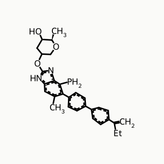 C=C(CC)c1ccc(-c2ccc(-c3c(C)cc4[nH]c(OC5CO[C@H](C)C(O)C5)nc4c3P)cc2)cc1